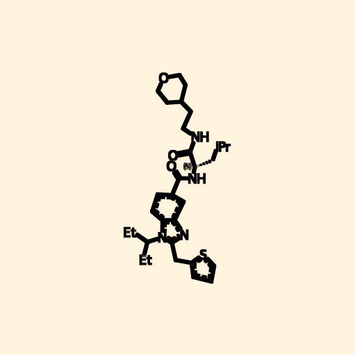 CCC(CC)n1c(Cc2cccs2)nc2cc(C(=O)N[C@@H](CC(C)C)C(=O)NCCC3CCOCC3)ccc21